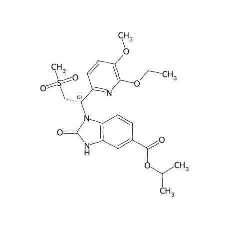 CCOc1nc([C@@H](CS(C)(=O)=O)n2c(=O)[nH]c3cc(C(=O)OC(C)C)ccc32)ccc1OC